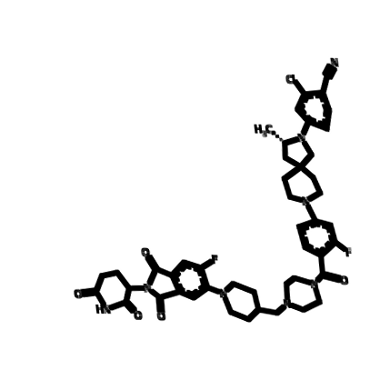 C[C@H]1CC2(CCN(c3ccc(C(=O)N4CCN(CC5CCN(c6cc7c(cc6F)C(=O)N(C6CCC(=O)NC6=O)C7=O)CC5)CC4)c(F)c3)CC2)CN1c1ccc(C#N)c(Cl)c1